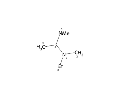 CCN(C)C(C)NC